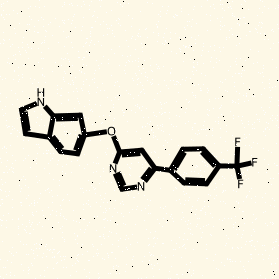 FC(F)(F)c1ccc(-c2cc(Oc3ccc4cc[nH]c4c3)ncn2)cc1